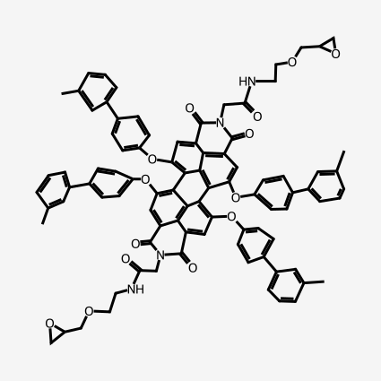 Cc1cccc(-c2ccc(Oc3cc4c5c(cc(Oc6ccc(-c7cccc(C)c7)cc6)c6c7c(Oc8ccc(-c9cccc(C)c9)cc8)cc8c9c(cc(Oc%10ccc(-c%11cccc(C)c%11)cc%10)c(c3c56)c97)C(=O)N(CC(=O)NCCOCC3CO3)C8=O)C(=O)N(CC(=O)NCCOCC3CO3)C4=O)cc2)c1